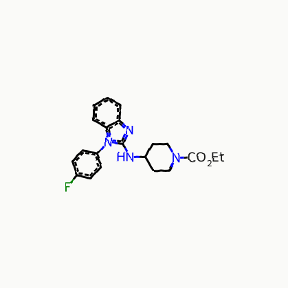 CCOC(=O)N1CCC(Nc2nc3ccccc3n2-c2ccc(F)cc2)CC1